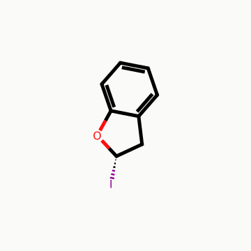 I[C@H]1Cc2ccccc2O1